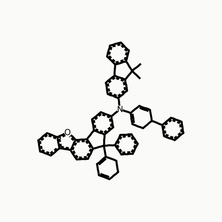 CC1(C)c2ccccc2-c2ccc(N(C3=CCC(c4ccccc4)C=C3)c3ccc4c(c3)C(C3=CC=CCC3)(c3ccccc3)c3ccc5c(oc6ccccc65)c3-4)cc21